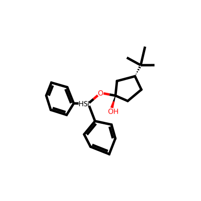 CC(C)(C)[C@@H]1CC[C@](O)(O[SiH](c2ccccc2)c2ccccc2)C1